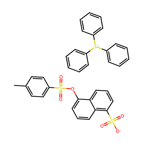 Cc1ccc(S(=O)(=O)Oc2cccc3c(S(=O)(=O)[O-])cccc23)cc1.c1ccc([S+](c2ccccc2)c2ccccc2)cc1